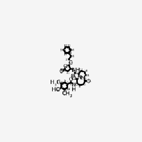 Cc1cc(C(=O)N[C@H]2CCC(=O)N3CCC[C@@H](C(=O)N[C@H]4CC(=O)O[C@@H]4OCCc4ccccc4)N3C2=O)cc(C)c1O